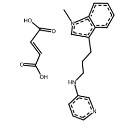 Cn1cc(CCCNc2cccnc2)c2ccccc21.O=C(O)C=CC(=O)O